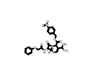 CC(O)C1=CS[C@@H]2[C@H](NC(=O)COc3ccccc3)C(=O)N2C1C(=O)OCc1ccc([N+](=O)[O-])cc1